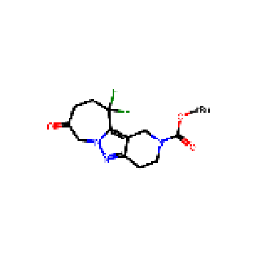 CC(C)(C)OC(=O)N1CCc2nn3c(c2C1)C(F)(F)CCC(=O)C3